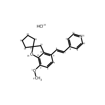 COc1ccc(C=Cc2ccncc2)c2c1OC1(CCCC1)C2.Cl